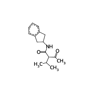 CC(=O)C(C(=O)NC1Cc2ccccc2C1)C(C)C